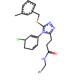 Cc1cccc(CSc2nnc(CCC(=O)NCC(C)C)n2C2=CC(Cl)CC=C2)c1